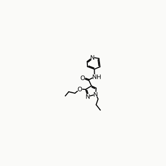 CCCOc1nn(CCC)cc1C(=O)Nc1ccncc1